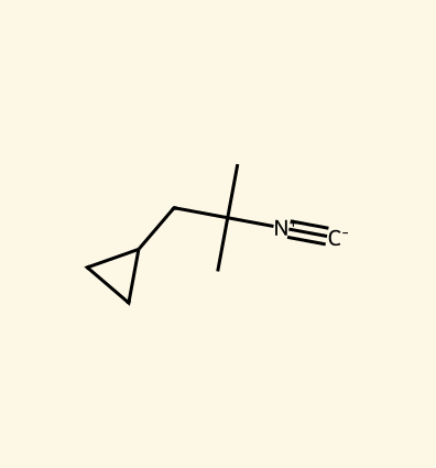 [C-]#[N+]C(C)(C)CC1CC1